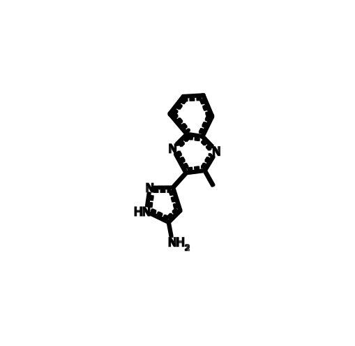 Cc1nc2ccccc2nc1-c1cc(N)[nH]n1